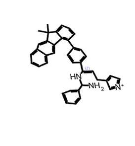 CC1(C)c2cc3ccccc3cc2-c2c(-c3ccc(/C(=C/CC4=CC=[N+]=C4)NC(N)c4ccccc4)cc3)cccc21